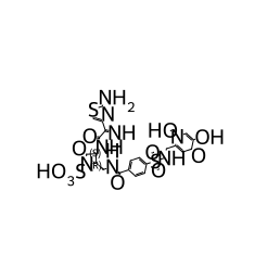 N=C(C(=O)N[C@@H]1C(=O)N(S(=O)(=O)O)[C@@H]1CNC(=O)c1ccc(S(=O)(=O)NCc2cc(=O)c(O)cn2O)cc1)c1csc(N)n1